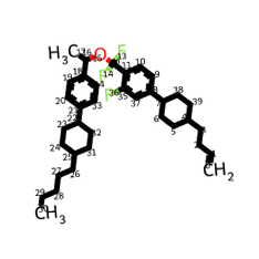 C=CCCC1CCC(c2ccc(C(F)(F)OC(C)c3ccc(C4CCC(CCCCC)CC4)cc3)c(F)c2)CC1